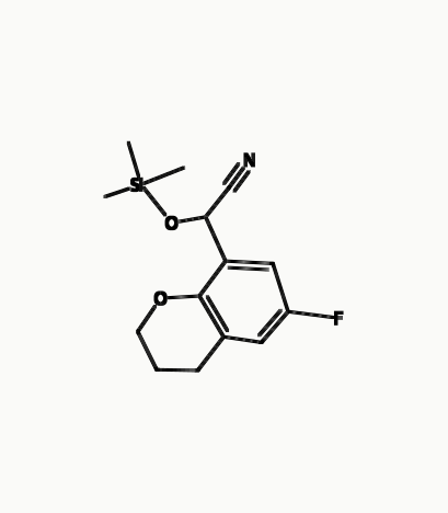 C[Si](C)(C)OC(C#N)c1cc(F)cc2c1OCCC2